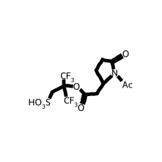 CC(=O)N1C(=O)CCC1CC(=O)OC(CS(=O)(=O)O)(C(F)(F)F)C(F)(F)F